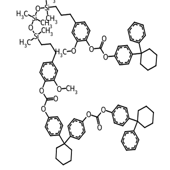 COc1cc(CCC[Si](C)(C)O[Si](C)(C)O[Si](C)(C)CCCc2ccc(OC(=O)Oc3ccc(C4(c5ccc(OC(=O)Oc6ccc(C7(c8ccccc8)CCCCC7)cc6)cc5)CCCCC4)cc3)c(OC)c2)ccc1OC(=O)Oc1ccc(C2(c3ccccc3)CCCCC2)cc1